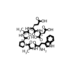 C[C@H](NC(=O)[C@@H]1CCCN1C(=O)[C@H](C)NC(=O)[C@@H](N)Cc1c[nH]c2ccccc12)C(=O)N[C@@H](CCC(=O)O)C(=O)N[C@@H](CC(=O)O)C(=O)O